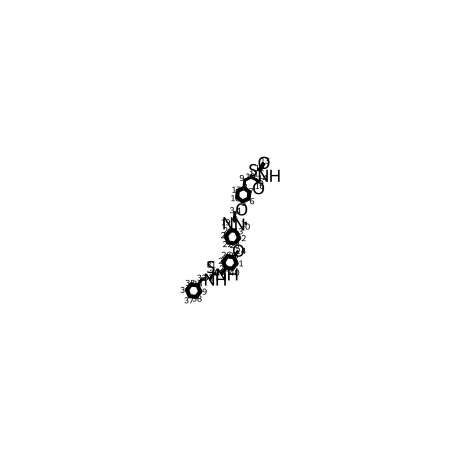 Cn1c(COc2ccc(CC3SC(=O)NC3=O)cc2)nc2ccc(Oc3ccc(NC(=S)NCc4ccccc4)cc3)cc21